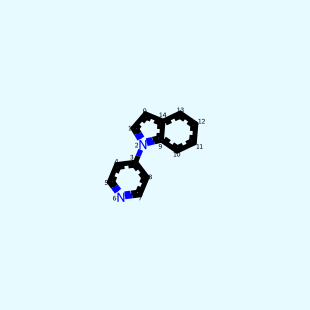 [c]1cn(-c2ccncc2)c2ccccc12